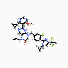 C=CCN1C(=O)CN(Cc2ccc(-c3nc(C(C)(F)F)cn3C3CC3)c(F)c2)c2nc(-c3c(OC)ncnc3C3CC3)ncc21